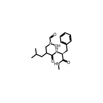 CNC(=O)[C@H](Cc1ccccc1)NC(=O)C(CC(C)C)CN(O)C=O